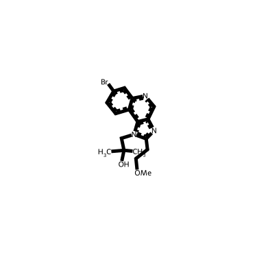 COCCc1nc2cnc3cc(Br)ccc3c2n1CC(C)(C)O